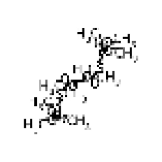 CCO[Si](CCCSC(C)(C)C(=O)OCCOC(=O)C(C)(C)SCCC[Si](OCC)(OCC)OCC)(OCC)OCC